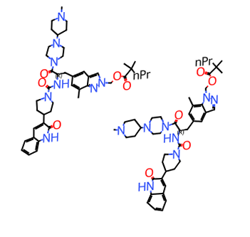 CCCC(C)(C)C(=O)OCn1cc2cc(C[C@@H](NC(=O)N3CCC(c4cc5ccccc5[nH]c4=O)CC3)C(=O)N3CCN(C4CCN(C)CC4)CC3)cc(C)c2n1.CCCC(C)(C)C(=O)OCn1ncc2cc(C[C@@H](NC(=O)N3CCC(c4cc5ccccc5[nH]c4=O)CC3)C(=O)N3CCN(C4CCN(C)CC4)CC3)cc(C)c21